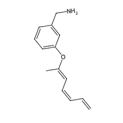 C=C/C=C\C=C(/C)Oc1cccc(CN)c1